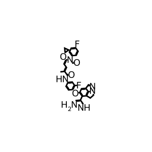 C/C(=C\C=C(\OC1CC1)N(C=O)c1ccc(F)cc1)C(=O)Nc1ccc(Oc2cc3cnn4c3c(c2/C(C=N)=C/N)CC4)c(F)c1